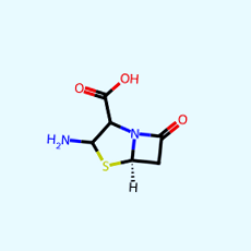 NC1S[C@@H]2CC(=O)N2C1C(=O)O